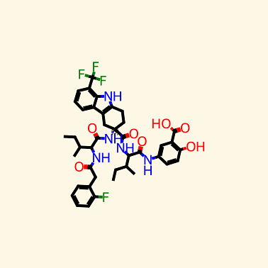 CCC(C)C(NC(=O)Cc1ccccc1F)C(=O)N[C@@]1(C(=O)NC(C(=O)Nc2ccc(O)c(C(=O)O)c2)C(C)CC)CCc2[nH]c3c(C(F)(F)F)cccc3c2C1